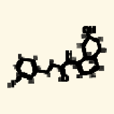 O=C(CCc1cccc(F)c1)Nc1cccc2c1CC(O)CC2